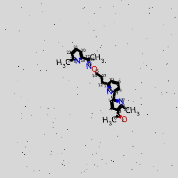 CC(=O)c1ccc(-c2cccc(CCCO/N=C(\C)c3cccc(C)n3)n2)nc1C